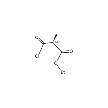 CCOC(=O)[C@H](C)C(=O)Cl